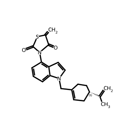 C=C1SC(=O)N(c2cccc3c2ccn3CC2=CC[C@@H](C(=C)C)CC2)C1=O